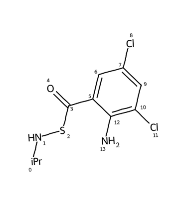 CC(C)NSC(=O)c1cc(Cl)cc(Cl)c1N